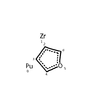 [Pu].[Zr].c1ccoc1